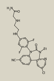 CCN1C(=O)N(c2c(F)cc(NCCNCC(N)=O)cc2F)c2cc(C#N)ccc2-c2cc(Cl)cnc21